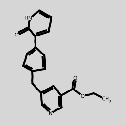 CCOC(=O)c1cncc(Cc2ccc(-c3ccc[nH]c3=O)cc2)c1